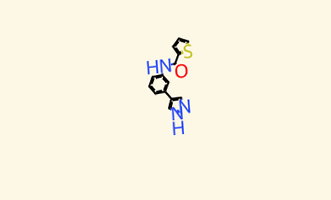 O=C(Nc1cccc(-c2cn[nH]c2)c1)c1cccs1